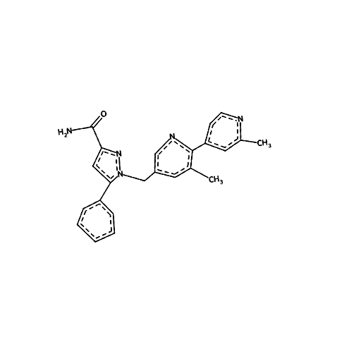 Cc1cc(-c2ncc(Cn3nc(C(N)=O)cc3-c3ccccc3)cc2C)ccn1